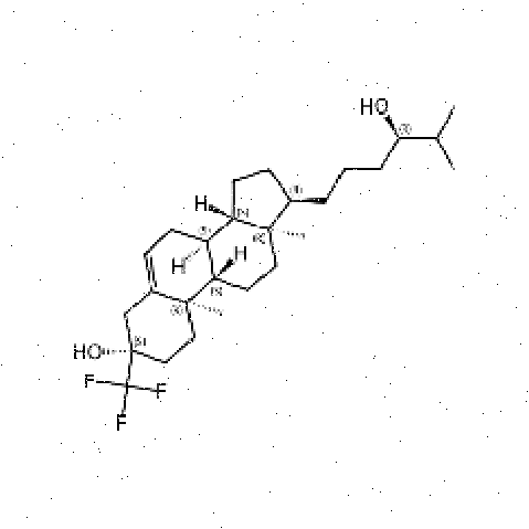 CC(C)[C@H](O)CCC[C@@H]1CC[C@H]2[C@@H]3CC=C4C[C@](O)(C(F)(F)F)CC[C@]4(C)[C@H]3CC[C@]12C